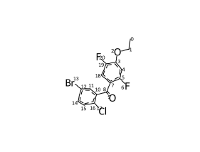 CCOc1cc(F)c(C(=O)c2cc(Br)ccc2Cl)cc1F